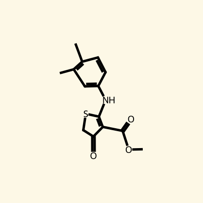 COC(=O)C1=C(Nc2ccc(C)c(C)c2)SCC1=O